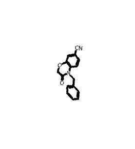 N#Cc1ccc2c(c1)OCC(=O)N2Cc1ccccc1